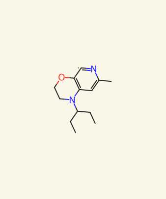 CCC(CC)N1CCOc2[c]nc(C)cc21